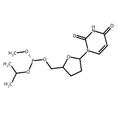 CO[P@](OCC1CCC(n2ccc(=O)[nH]c2=O)O1)OC(C)C